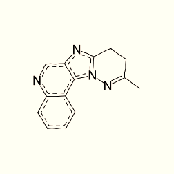 CC1=Nn2c(nc3cnc4ccccc4c32)CC1